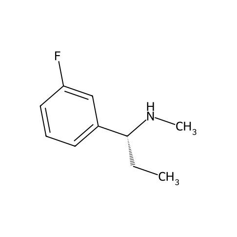 CC[C@@H](NC)c1cccc(F)c1